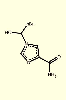 CCCCC(O)n1cnc(C(N)=O)c1